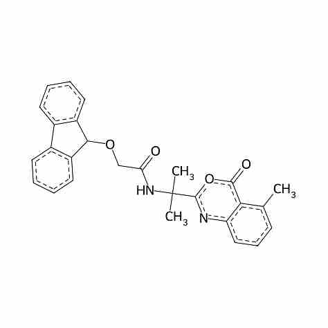 Cc1cccc2nc(C(C)(C)NC(=O)COC3c4ccccc4-c4ccccc43)oc(=O)c12